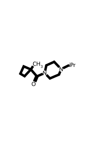 CC(C)N1CCN(C(=O)C2(C)CCC2)CC1